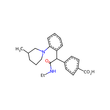 CCNC(=O)C(c1ccc(C(=O)O)cc1)c1ccccc1N1CCCC(C)C1